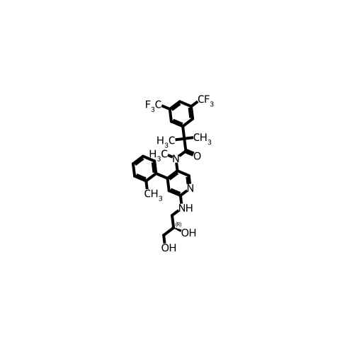 Cc1ccccc1-c1cc(NC[C@@H](O)CO)ncc1N(C)C(=O)C(C)(C)c1cc(C(F)(F)F)cc(C(F)(F)F)c1